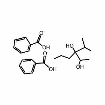 CCCC(O)(C(C)C)C(C)O.O=C(O)c1ccccc1.O=C(O)c1ccccc1